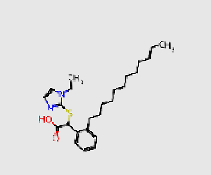 CCCCCCCCCCCCc1ccccc1C(Sc1nccn1CC)C(=O)O